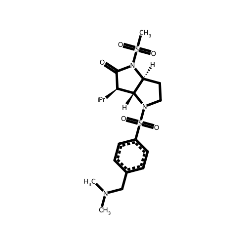 CC(C)[C@H]1C(=O)N(S(C)(=O)=O)[C@H]2CCN(S(=O)(=O)c3ccc(CN(C)C)cc3)[C@H]12